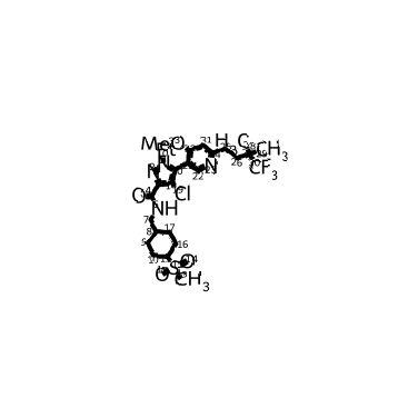 CCn1nc(C(=O)NCC2CCC(S(C)(=O)=O)CC2)c(Cl)c1-c1cnc(CCC(C)(C)C(F)(F)F)cc1OC